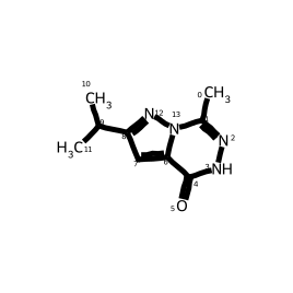 Cc1n[nH]c(=O)c2cc(C(C)C)nn12